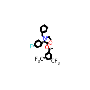 C[C@H](O[C@@H]1OCCN(Cc2ccccc2)[C@H]1c1ccc(F)cc1)c1cc(C(F)(F)F)cc(C(F)(F)F)c1